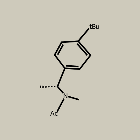 CC(=O)N(C)[C@H](C)c1ccc(C(C)(C)C)cc1